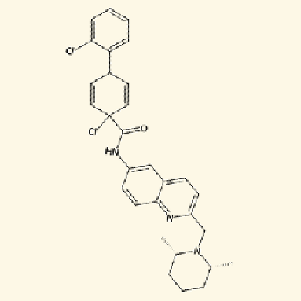 C[C@@H]1CCC[C@H](C)N1Cc1ccc2cc(NC(=O)C3(Cl)C=CC(c4ccccc4Cl)C=C3)ccc2n1